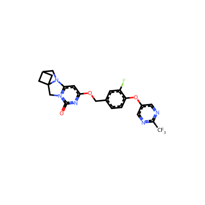 O=c1nc(OCc2ccc(Oc3cnc(C(F)(F)F)nc3)c(F)c2)cc2n1CC13CC(CN21)C3